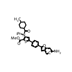 COC(=O)c1sc(-c2ccc(-c3cc4ccc(N)cc4o3)cc2)cc1N(C(=O)C1CCC(C)CC1)C(C)C